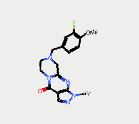 COc1ccc(CN2CCn3c(nc4c(cnn4C(C)C)c3=O)C2)cc1F